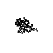 C=C(C)C(=O)Oc1ccc(I)c(C(=O)OC2C3OC(=O)C4C3OC2C4C(=O)OC(C(F)(F)F)C(F)(F)S(=O)(=O)O)c1